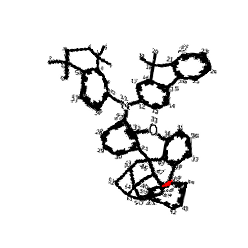 CC1(C)CCC(C)(C)c2cc(N(c3ccc4c(c3)C(C)(C)c3ccccc3-4)c3cccc4c3Oc3cccc(-c5ccccc5)c3C43C4CC5CC6CC3C64C5)ccc21